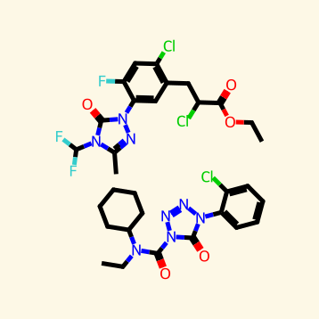 CCN(C(=O)n1nnn(-c2ccccc2Cl)c1=O)C1CCCCC1.CCOC(=O)C(Cl)Cc1cc(-n2nc(C)n(C(F)F)c2=O)c(F)cc1Cl